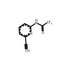 C#Cc1cccc(NC(=O)C(F)(F)F)n1